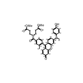 COC(=O)CCN(CCC(=O)OC)C(=O)c1ccc(-c2c3ccc(=O)cc-3oc3cc(N(C)c4ccc(O)cc4)ccc23)c(C)c1